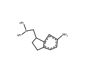 CCCN(CCC)CC1CCc2ccc(N)cc21